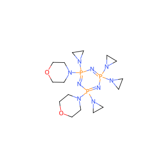 C1CN(P2(N3CC3)=NP(N3CCOCC3)(N3CC3)=NP(N3CC3)(N3CC3)=N2)CCO1